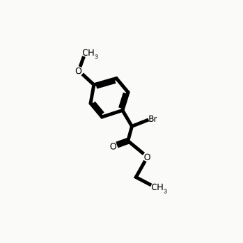 CCOC(=O)C(Br)c1ccc(OC)cc1